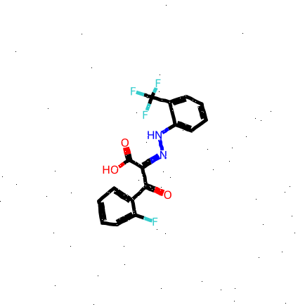 O=C(O)C(=NNc1ccccc1C(F)(F)F)C(=O)c1ccccc1F